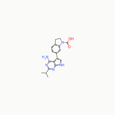 CC(C)c1nc(N)c2c(-c3ccc4c(c3)N(C(=O)O)CC4)c[nH]c2n1